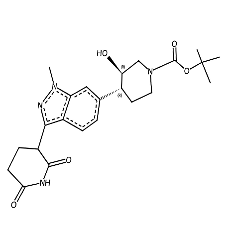 Cn1nc(C2CCC(=O)NC2=O)c2ccc([C@H]3CCN(C(=O)OC(C)(C)C)C[C@@H]3O)cc21